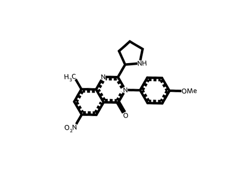 COc1ccc(-n2c(C3CCCN3)nc3c(C)cc([N+](=O)[O-])cc3c2=O)cc1